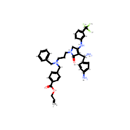 C=CCOC(=O)c1ccc(CN(CCCN2CC(Nc3cccc(C(F)(F)F)c3)=C([C@H](N)c3ccc(N)cc3)C2=O)Cc2ccccc2)cc1